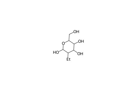 CCC1C(O)OC(CO)C(O)C1O